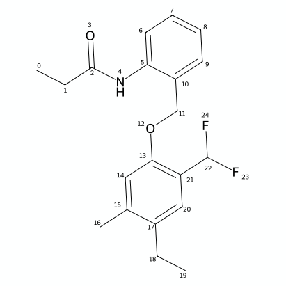 CCC(=O)Nc1ccccc1COc1cc(C)c(CC)cc1C(F)F